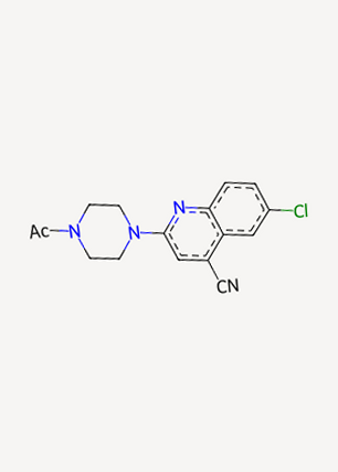 CC(=O)N1CCN(c2cc(C#N)c3cc(Cl)ccc3n2)CC1